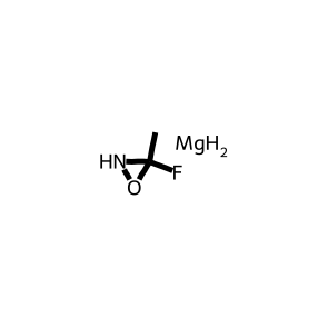 CC1(F)NO1.[MgH2]